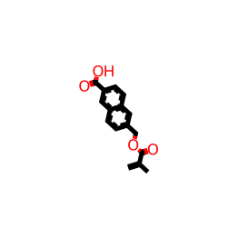 C=C(C)C(=O)OCc1ccc2cc(C(=O)O)ccc2c1